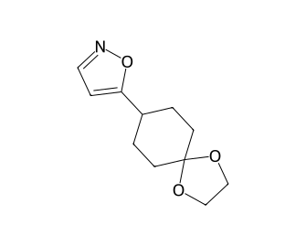 c1cc(C2CCC3(CC2)OCCO3)on1